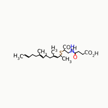 CC=CCC/C(C)=C/CC/C(C)=C/C(C)S[C@H](CNC(=O)CCC(=O)O)C(=O)O